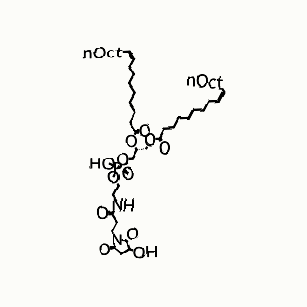 CCCCCCCC/C=C\CCCCCCCC(=O)OC[C@H](COP(=O)(O)OCCNC(=O)CCN1C(=O)CC(O)C1=O)OC(=O)CCCCCCC/C=C\CCCCCCCC